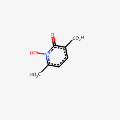 O=C(O)c1ccc(C(=O)O)n(O)c1=O